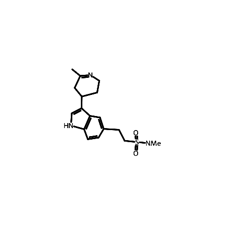 CNS(=O)(=O)CCc1ccc2[nH]cc(C3CCN=C(C)C3)c2c1